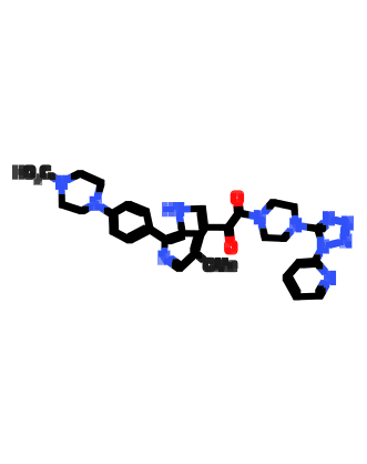 COc1cnc(-c2ccc(N3CCN(C(=O)O)CC3)cc2)c2[nH]cc(C(=O)C(=O)N3CCN(c4nnnn4-c4ccccn4)CC3)c12